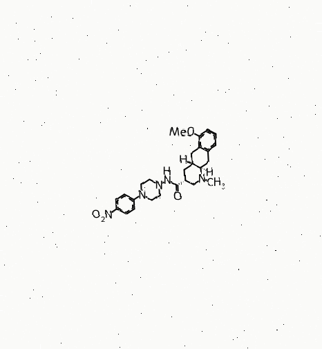 COc1cccc2c1C[C@H]1C[C@@H](C(=O)NN3CCN(c4ccc([N+](=O)[O-])cc4)CC3)CN(C)[C@@H]1C2